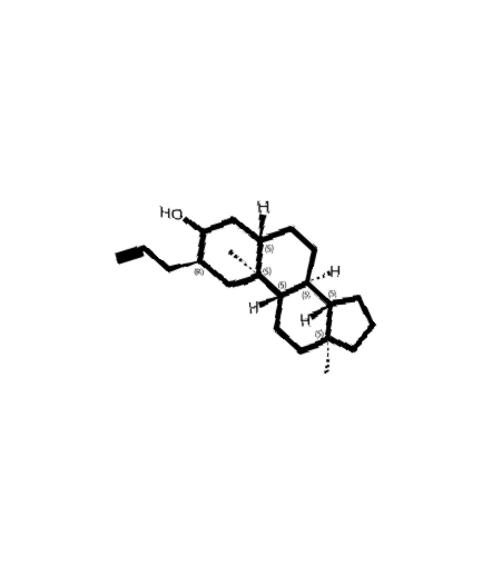 C=CC[C@@H]1C[C@@]2(C)[C@@H](CC[C@H]3[C@@H]4CCC[C@@]4(C)CC[C@@H]32)CC1O